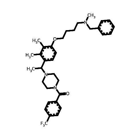 Cc1c(OCCCCN(C)Cc2ccccc2)ccc(C(C)N2CCN(C(=O)c3ccc(C(F)(F)F)cc3)CC2)c1C